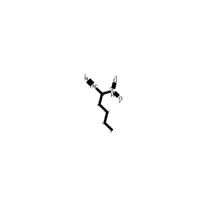 CCCCC([N+]#N)[SH](=O)=O